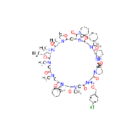 CC[C@H](C)[C@@H]1NC(=O)[C@H](C)N(C)C(=O)C[C@@H](C(=O)N2CCCCC2)N(C)C(=O)[C@H](C2CCCCC2)N(C)C(=O)C2(CCCC2)NC(=O)[C@@H]2CCCN2C(=O)[C@H](COCc2ccc(Cl)cc2)NC(=O)CN(C)C(=O)[C@H](CC2CCCCC2)N(C)C(=O)CN(C)C(=O)CN(C)C1=O